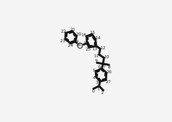 CC(C)c1ccc(C(C)(C)CCCc2cccc(Oc3ccccc3)c2)cc1